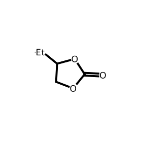 C[CH]C1COC(=O)O1